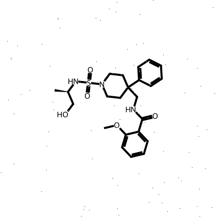 COc1ccccc1C(=O)NCC1(c2ccccc2)CCN(S(=O)(=O)N[C@H](C)CO)CC1